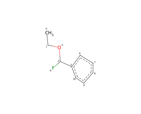 CCOC(F)c1ccccc1